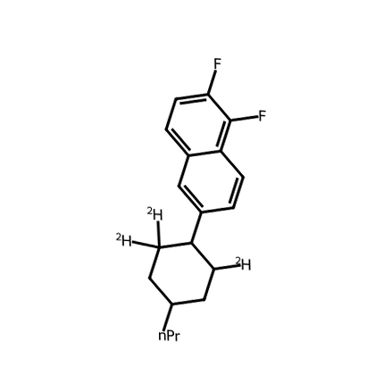 [2H]C1CC(CCC)CC([2H])([2H])C1c1ccc2c(F)c(F)ccc2c1